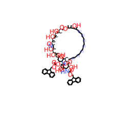 CC1/C=C/C=C/C=C/C=C/C=C/C=C/C=C/C(OC2OC(C)C(O)C(NC(=O)OCC3c4ccccc4-c4ccccc43)C2O)CC2OC(O)(CC(O)CC(O)C(N=O)CCC(O)CC(O)CC(=O)OC(C)C(C)C1O)CC(OC(=O)OCC1c3ccccc3-c3ccccc31)C2N=C=O